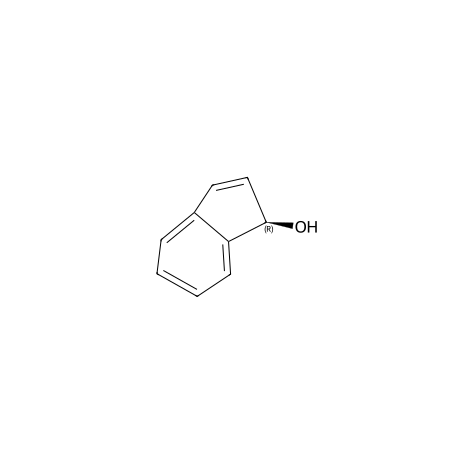 O[C@@H]1C=Cc2ccccc21